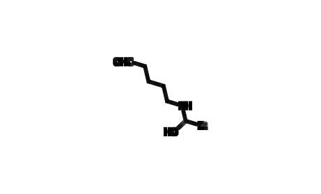 CCC(O)NCCCCC=O